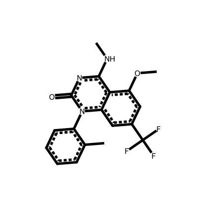 CNc1nc(=O)n(-c2ccccc2C)c2cc(C(F)(F)F)cc(OC)c12